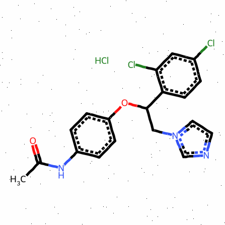 CC(=O)Nc1ccc(OC(Cn2ccnc2)c2ccc(Cl)cc2Cl)cc1.Cl